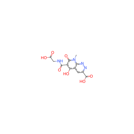 Cn1c(=O)c(C(=O)NCC(=O)O)c(O)c2cc(C(=O)O)nnc21